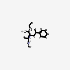 CCOC(O)/C(CC(C)C1=CCCC=C1)=C(C)/C=N/C